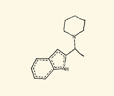 CC(c1cc2ccccc2[nH]1)N1CCCCC1